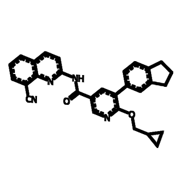 N#Cc1cccc2ccc(NC(=O)c3cnc(OCC4CC4)c(-c4ccc5c(c4)CCC5)c3)nc12